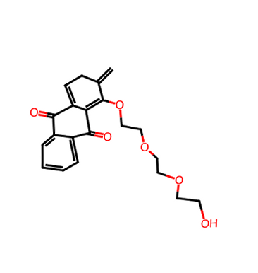 C=C1CC=C2C(=O)c3ccccc3C(=O)C2=C1OCCOCCOCCO